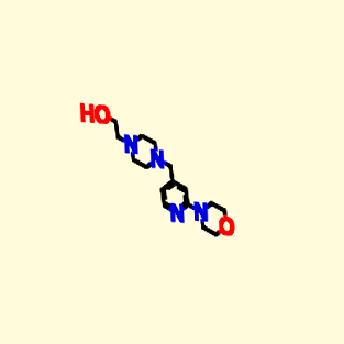 OCCN1CCN(Cc2ccnc(N3CCOCC3)c2)CC1